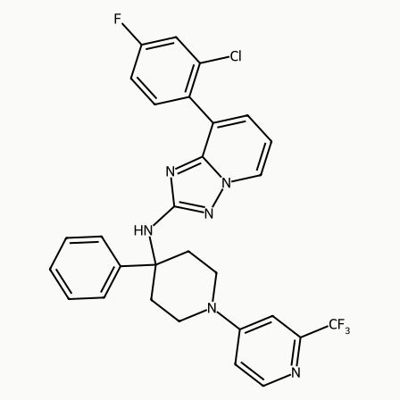 Fc1ccc(-c2cccn3nc(NC4(c5ccccc5)CCN(c5ccnc(C(F)(F)F)c5)CC4)nc23)c(Cl)c1